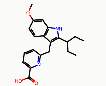 CCC(CC)c1[nH]c2cc(OC)ccc2c1Cc1cccc(C(=O)O)n1